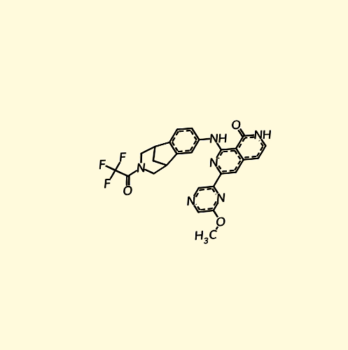 COc1cncc(-c2cc3cc[nH]c(=O)c3c(Nc3ccc4c(c3)C3CC4CN(C(=O)C(F)(F)F)C3)n2)n1